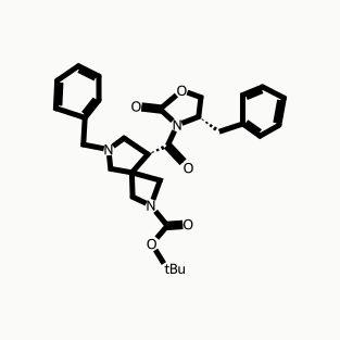 CC(C)(C)OC(=O)N1CC2(CN(Cc3ccccc3)C[C@@H]2C(=O)N2C(=O)OC[C@@H]2Cc2ccccc2)C1